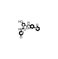 O=C(Nc1ccc(Cl)cn1)N1C[C@H](O)C[C@@H]1C(O)Nc1ccc(-n2ccccc2=O)cc1